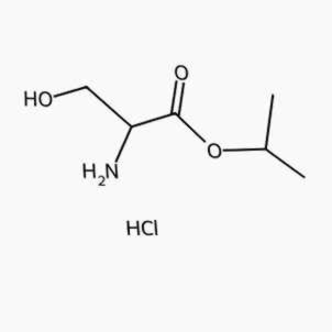 CC(C)OC(=O)C(N)CO.Cl